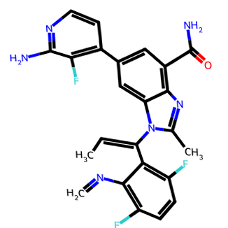 C=Nc1c(F)ccc(F)c1/C(=C\C)n1c(C)nc2c(C(N)=O)cc(-c3ccnc(N)c3F)cc21